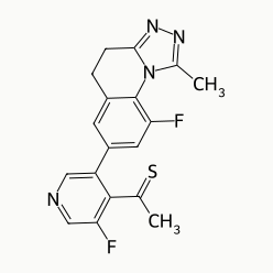 CC(=S)c1c(F)cncc1-c1cc(F)c2c(c1)CCc1nnc(C)n1-2